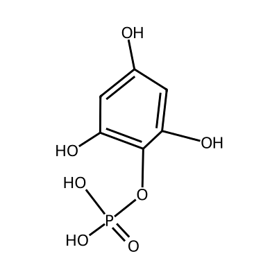 O=P(O)(O)Oc1c(O)cc(O)cc1O